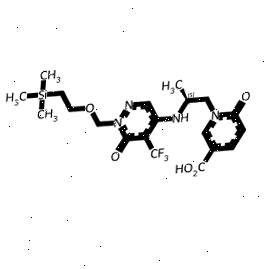 C[C@@H](Cn1cc(C(=O)O)ccc1=O)Nc1cnn(COCC[Si](C)(C)C)c(=O)c1C(F)(F)F